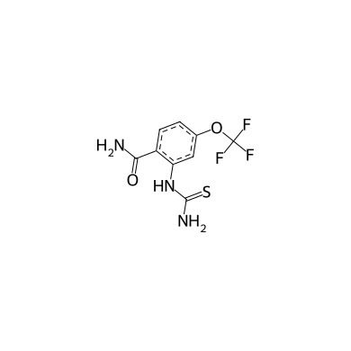 NC(=O)c1ccc(OC(F)(F)F)cc1NC(N)=S